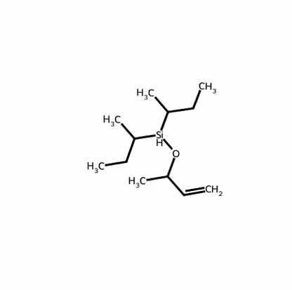 C=CC(C)O[SiH](C(C)CC)C(C)CC